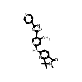 CN1C(=O)c2ccc(Nc3cc(N)c(-c4nc(-c5ccncc5)no4)cn3)nc2C1(C)C